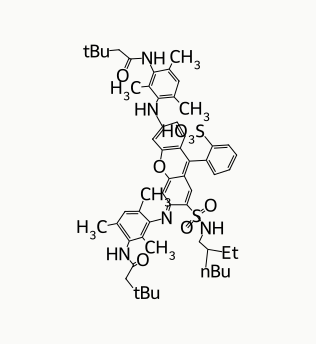 CCCCC(CC)CNS(=O)(=O)c1cc2c(-c3ccccc3S(=O)(=O)O)c3ccc(Nc4c(C)cc(C)c(NC(=O)CC(C)(C)C)c4C)cc3oc-2c/c1=N\c1c(C)cc(C)c(NC(=O)CC(C)(C)C)c1C